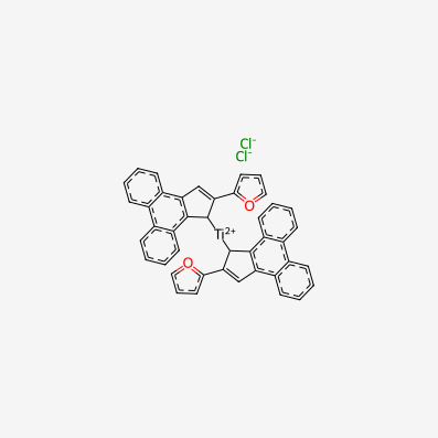 C1=C(c2ccco2)[CH]([Ti+2][CH]2C(c3ccco3)=Cc3c2c2ccccc2c2ccccc32)c2c1c1ccccc1c1ccccc21.[Cl-].[Cl-]